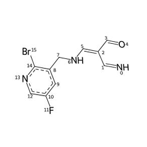 N=C/C(C=O)=C\NCc1cc(F)cnc1Br